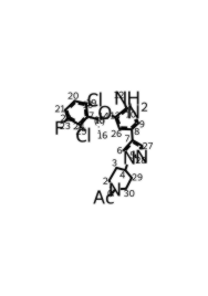 CC(=O)N1CCC(n2cc(-c3cnc(N)c(O[C@H](C)c4c(Cl)ccc(F)c4Cl)c3)cn2)CC1